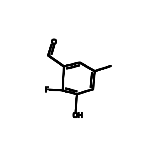 Cc1cc(O)c(F)c(C=O)c1